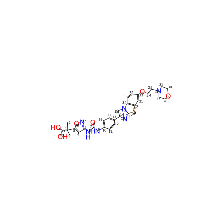 CC(C)(c1cc(NC(=O)Nc2ccc(C3CN4C(=N3)Sc3cc(OCCN5CCOCC5)ccc34)cc2)no1)C(O)O